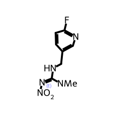 CN/C(=N\[N+](=O)[O-])NCc1ccc(F)nc1